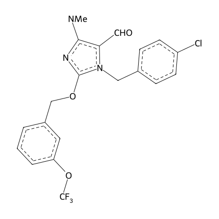 CNc1nc(OCc2cccc(OC(F)(F)F)c2)n(Cc2ccc(Cl)cc2)c1C=O